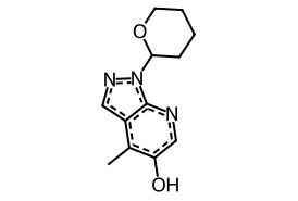 Cc1c(O)cnc2c1cnn2C1CCCCO1